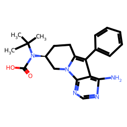 CC(C)(C)N(C(=O)O)[C@H]1CCc2c(-c3ccccc3)c3c(N)ncnc3n2C1